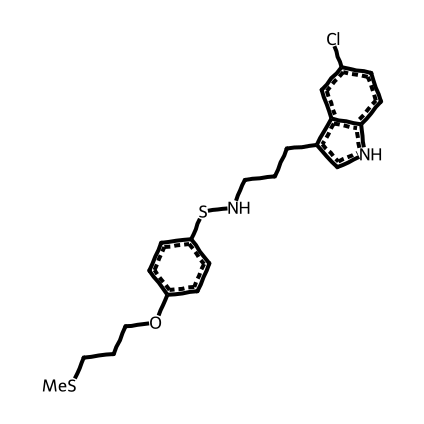 CSCCCOc1ccc(SNCCCc2c[nH]c3ccc(Cl)cc23)cc1